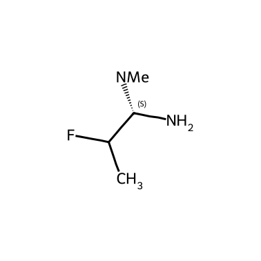 CN[C@H](N)C(C)F